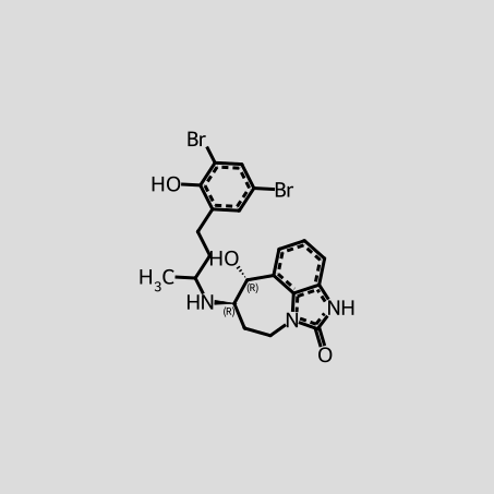 CC(CCc1cc(Br)cc(Br)c1O)N[C@@H]1CCn2c(=O)[nH]c3cccc(c32)[C@H]1O